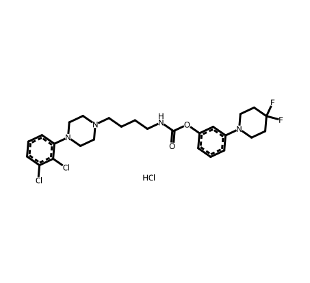 Cl.O=C(NCCCCN1CCN(c2cccc(Cl)c2Cl)CC1)Oc1cccc(N2CCC(F)(F)CC2)c1